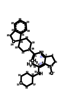 C=C(/N=C1/CC[S+]([O-])/C1=C(/N)NC1CCOCC1)N1CCC2(CC1)OCc1ccccc12